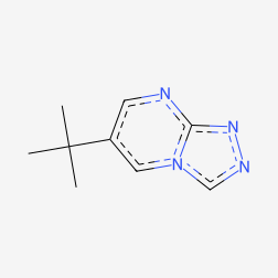 CC(C)(C)c1cnc2nncn2c1